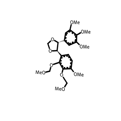 COCOc1c(OC)ccc([C@H]2OCO[C@@H]2c2cc(OC)c(OC)c(OC)c2)c1OCOC